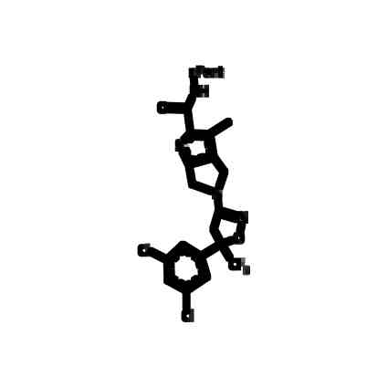 CCCCCNC(=O)c1sc2c(c1C)CN(C1=NOC(c3cc(Cl)cc(Cl)c3)(C(F)(F)F)C1)C2